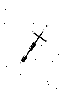 [C-]#CC#CC(F)(F)F.[Li+]